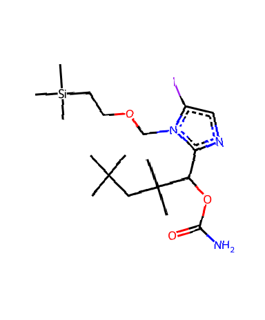 CC(C)(C)CC(C)(C)C(OC(N)=O)c1ncc(I)n1COCC[Si](C)(C)C